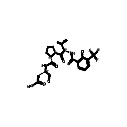 CC(C)[C@H](NC(=O)c1cccc(C(F)(F)F)c1Cl)C(=O)N1CCC[C@H]1C(=O)N[C@H](C=O)CC(=O)O